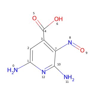 Nc1cc(C(=O)O)c(N=O)c(N)n1